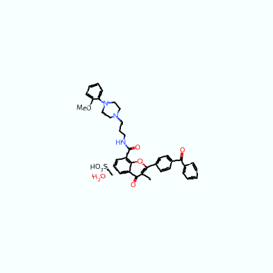 COc1ccccc1N1CCN(CCCNC(=O)c2cccc3c(=O)c(C)c(-c4ccc(C(=O)c5ccccc5)cc4)oc23)CC1.CS(=O)(=O)O.O